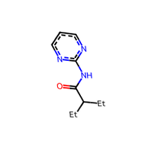 CCC(CC)C(=O)Nc1ncccn1